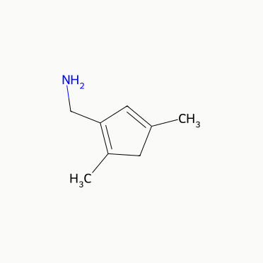 CC1=CC(CN)=C(C)C1